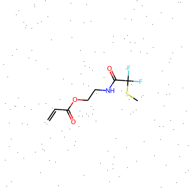 C=CC(=O)OCCNC(=O)C(F)(F)SC